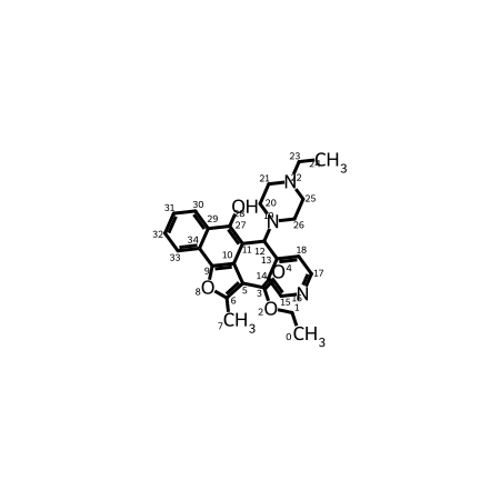 CCOC(=O)c1c(C)oc2c1c(C(c1ccncc1)N1CCN(CC)CC1)c(O)c1ccccc12